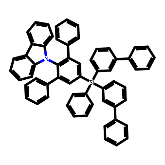 c1ccc(-c2cccc([Si](c3ccccc3)(c3cccc(-c4ccccc4)c3)c3cc(-c4ccccc4)c(-n4c5ccccc5c5ccccc54)c(-c4ccccc4)c3)c2)cc1